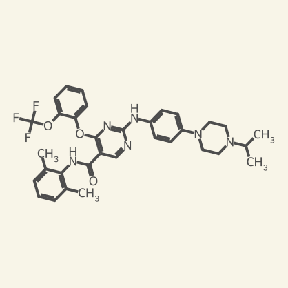 Cc1cccc(C)c1NC(=O)c1cnc(Nc2ccc(N3CCN(C(C)C)CC3)cc2)nc1Oc1ccccc1OC(F)(F)F